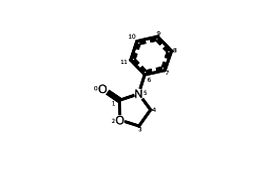 O=C1OCCN1c1cc[c]cc1